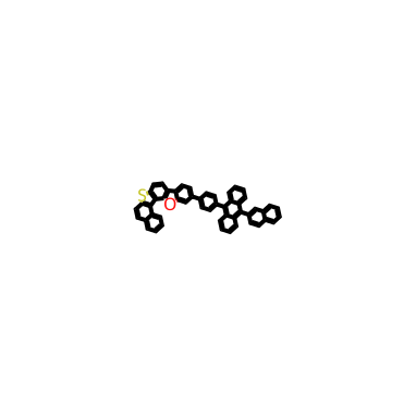 c1ccc2cc(-c3c4ccccc4c(-c4ccc(-c5ccc6c(c5)oc5c6ccc6sc7ccc8ccccc8c7c65)cc4)c4ccccc34)ccc2c1